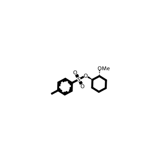 CO[C@@H]1CCCC[C@H]1OS(=O)(=O)c1ccc(C)cc1